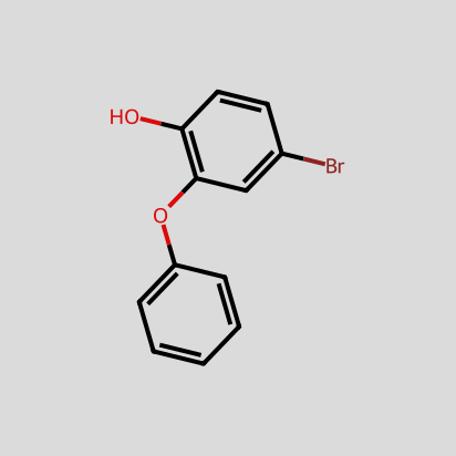 Oc1ccc(Br)cc1Oc1ccccc1